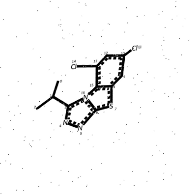 CC(C)c1nnc2sc3cc(Cl)cc(Cl)c3n12